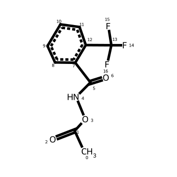 CC(=O)ONC(=O)c1ccccc1C(F)(F)F